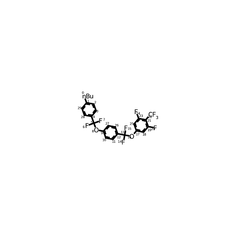 CCCCc1ccc(C(F)(F)Oc2ccc(C(F)(F)Oc3cc(F)c(C(F)(F)F)c(F)c3)cc2)cc1